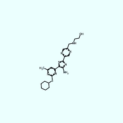 Cc1cc(-c2sc(-c3cnc(CNCCO)cn3)nc2N)nc(SC2CCCCC2)n1